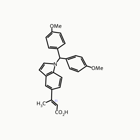 COc1ccc(C(c2ccc(OC)cc2)n2ccc3cc(/C(C)=C/C(=O)O)ccc32)cc1